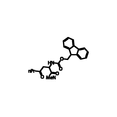 CCCC(=O)CC(NC(=O)OCC1c2ccccc2-c2ccccc21)C(=O)NC